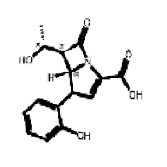 C[C@@H](O)[C@H]1C(=O)N2C(C(=O)O)=CC(c3ccccc3O)[C@H]12